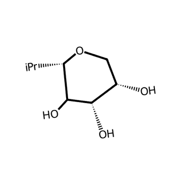 CC(C)[C@@H]1OC[C@H](O)[C@H](O)C1O